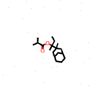 CCC(C)(OC(=O)C(C)C)C1(C)CC2CCCC(C2)C1